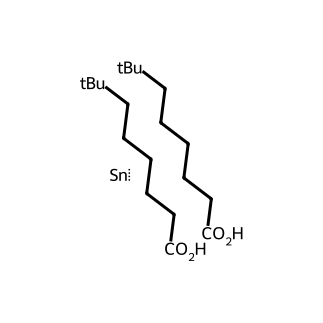 CC(C)(C)CCCCCC(=O)O.CC(C)(C)CCCCCC(=O)O.[Sn]